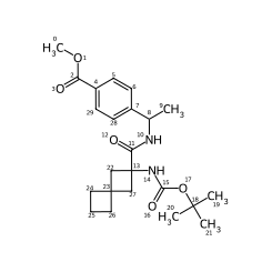 COC(=O)c1ccc(C(C)NC(=O)C2(NC(=O)OC(C)(C)C)CC3(CCC3)C2)cc1